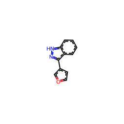 c1ccc2c(-c3ccoc3)n[nH]c2c1